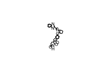 O=C1CCC(N2Cc3cc(O[C@@H]4CCCC[C@@H]4N4CC(c5cnc6ccccc6n5)C4)ccc3C2=O)C(=O)N1